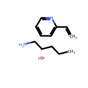 Br.C=Cc1ccccn1.CCCCCN